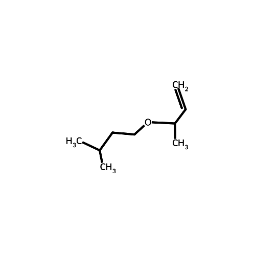 C=CC(C)OCCC(C)C